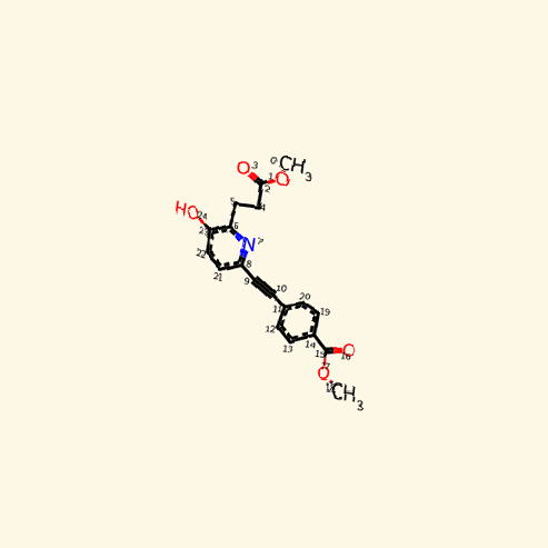 COC(=O)CCc1nc(C#Cc2ccc(C(=O)OC)cc2)ccc1O